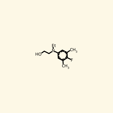 CCN(CCO)c1cc(C)c(F)c(C)c1